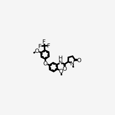 COc1ccc(Oc2ccc(C(F)(F)F)c(OC)c2)cc1NC(=O)C1CCC(=O)N1C